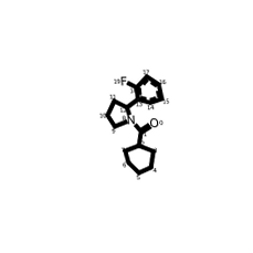 O=C(C1CCCCC1)N1CCCC1c1ccccc1F